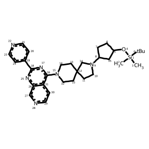 CC(C)(C)[Si](C)(C)OC1CCC(N2CCC3(CCN(c4nc(-c5ccncc5)nc5cnccc45)CC3)C2)C1